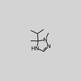 CC(C)C1(C)NC=NN1C